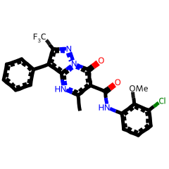 COc1c(Cl)cccc1NC(=O)c1c(C)[nH]c2c(-c3ccccc3)c(C(F)(F)F)nn2c1=O